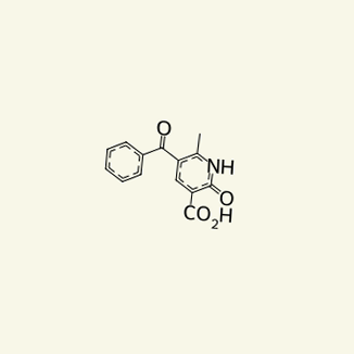 Cc1[nH]c(=O)c(C(=O)O)cc1C(=O)c1ccccc1